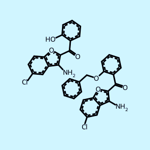 Nc1c(C(=O)c2ccccc2O)oc2ccc(Cl)cc12.Nc1c(C(=O)c2ccccc2OCc2ccccc2)oc2ccc(Cl)cc12